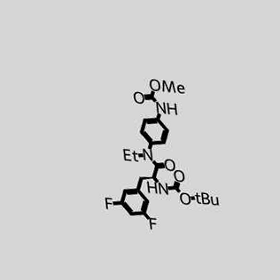 CCN(C(=O)[C@H](Cc1cc(F)cc(F)c1)NC(=O)OC(C)(C)C)c1ccc(NC(=O)OC)cc1